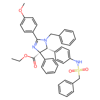 CCOC(=O)[C@]1(c2ccccc2)N=C(c2ccc(OC)cc2)N(Cc2ccccc2)[C@@H]1c1ccc(NS(=O)(=O)Cc2ccccc2)cc1